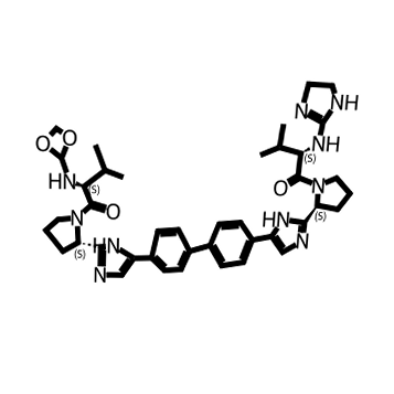 CC(C)[C@H](NC1=NCCN1)C(=O)N1CCC[C@H]1c1ncc(-c2ccc(-c3ccc(-c4cnc([C@@H]5CCCN5C(=O)[C@@H](NC5OCO5)C(C)C)[nH]4)cc3)cc2)[nH]1